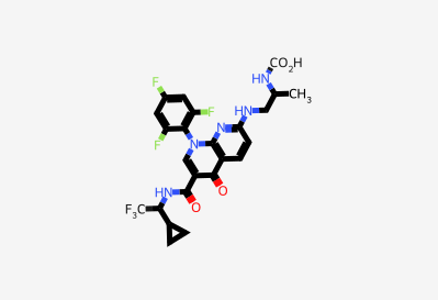 CC(CNc1ccc2c(=O)c(C(=O)NC(C3CC3)C(F)(F)F)cn(-c3c(F)cc(F)cc3F)c2n1)NC(=O)O